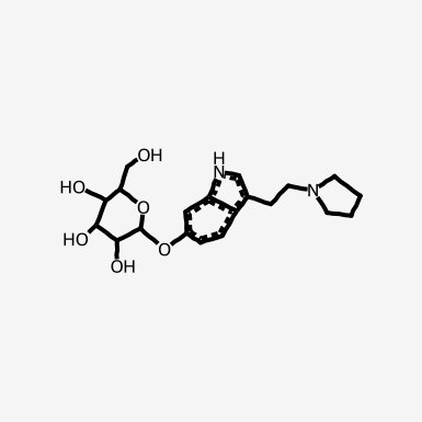 OCC1OC(Oc2ccc3c(CCN4CCCC4)c[nH]c3c2)C(O)C(O)C1O